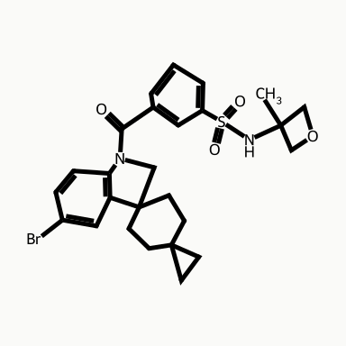 CC1(NS(=O)(=O)c2cccc(C(=O)N3CC4(CCC5(CC5)CC4)c4cc(Br)ccc43)c2)COC1